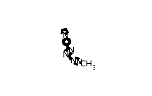 CN1CCN(Cc2cnc(-c3ccc(N4CCCC4)cc3)cn2)CC1